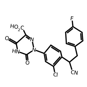 N#CC(Cc1ccc(F)cc1)c1ccc(-n2nc(C(=O)O)c(=O)[nH]c2=O)cc1Cl